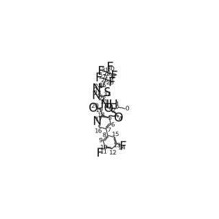 CCS(=O)(=O)c1cc(-c2cc(F)cc(F)c2)cnc1C(=O)Nc1nnc(C(F)(F)C(F)(F)F)s1